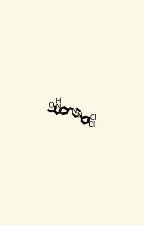 CCc1cc2ccc(CN3CCN(c4ccc(Cl)c(Cl)c4)CC3)cc2[nH]c1=O